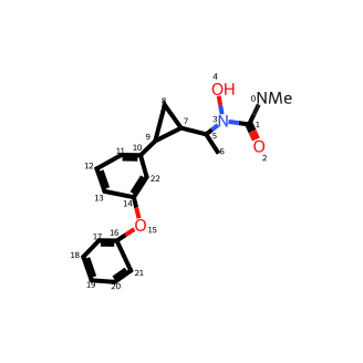 CNC(=O)N(O)C(C)C1CC1c1cccc(Oc2ccccc2)c1